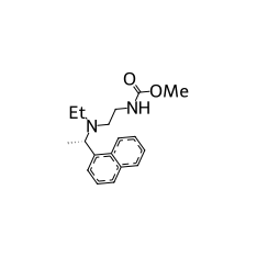 CCN(CCNC(=O)OC)[C@@H](C)c1cccc2ccccc12